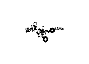 COc1ccc(CCNC(=O)C2CN(c3cc(Cl)nc(-n4ccnc4)n3)CCN2C(=O)NC2CCCCC2)cc1